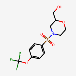 O=S(=O)(c1ccc(OC(F)(F)F)cc1)N1CCOC(CO)C1